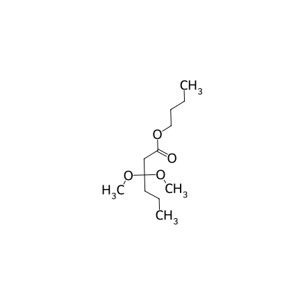 CCCCOC(=O)CC(CCC)(OC)OC